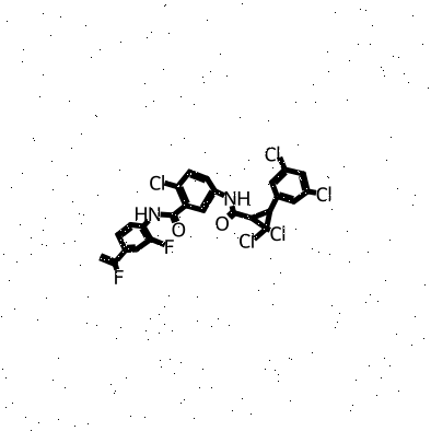 C=C(F)c1ccc(NC(=O)c2cc(NC(=O)C3C(c4cc(Cl)cc(Cl)c4)C3(Cl)Cl)ccc2Cl)c(F)c1